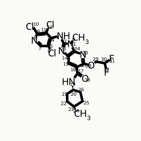 Cn1c(Nc2c(Cl)cnc(Cl)c2Cl)nc2cc(C(=O)N[C@H]3CC[C@H](C)CC3)c(OCC(F)F)nc21